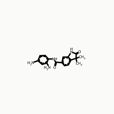 CC1(C)C(=O)Nc2cc(C(=O)Nc3ccc(N)cc3N)ccc21